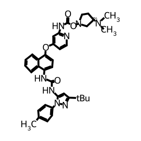 Cc1ccc(-n2nc(C(C)(C)C)cc2NC(=O)Nc2ccc(Oc3ccnc(NC(=O)ON4CC[C@@H](N(C)C)C4)c3)c3ccccc23)cc1